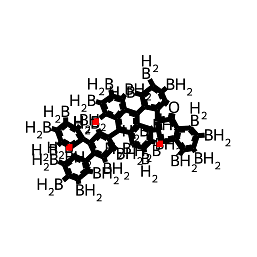 Bc1c(B)c(B)c(-c2c(B)c(B)c(-c3c4c(B)c(B)c(B)c(B)c4c(-c4c(B)c(B)c(B)c5oc6c7c(B)c(B)c(B)c(B)c7c(B)c(B)c6c45)c4c(B)c(B)c(B)c(B)c34)c(B)c2-c2c(B)c(B)c(B)c(B)c2B)c(B)c1B